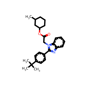 CC1CCCC(OC(=O)Cn2c(-c3ccc(C(C)(C)C)cc3)nc3ccccc32)C1